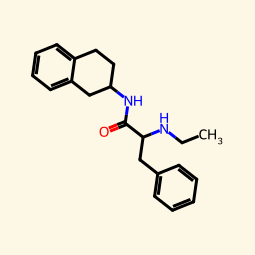 CCNC(Cc1ccccc1)C(=O)NC1CCc2ccccc2C1